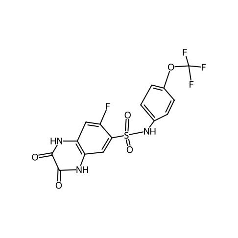 O=c1[nH]c2cc(F)c(S(=O)(=O)Nc3ccc(OC(F)(F)F)cc3)cc2[nH]c1=O